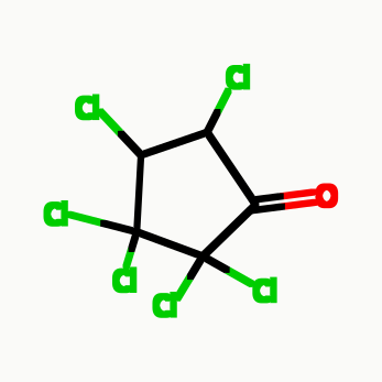 O=C1C(Cl)C(Cl)C(Cl)(Cl)C1(Cl)Cl